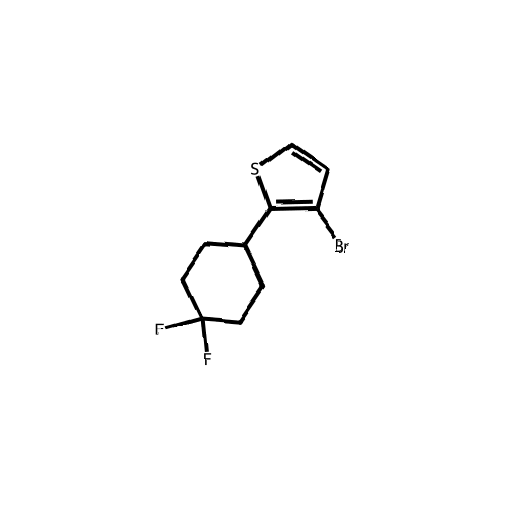 FC1(F)CC[C](c2sccc2Br)CC1